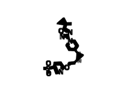 CC1(c2nc(N3CCC([C@H]4C[C@H]4CCOc4ccc(S(C)(=O)=O)cn4)CC3)no2)CC1